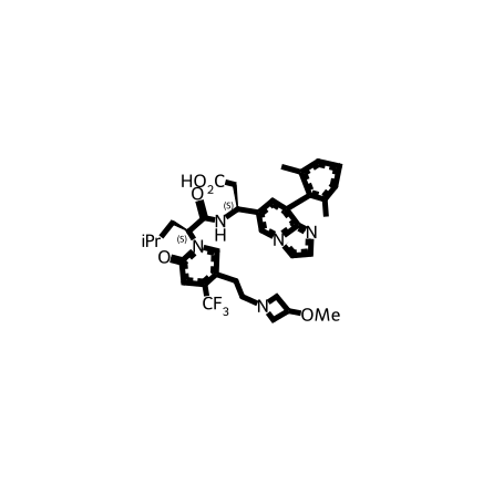 COC1CN(CCc2cn([C@@H](CC(C)C)C(=O)N[C@@H](CC(=O)O)c3cc(-c4c(C)cccc4C)c4nccn4c3)c(=O)cc2C(F)(F)F)C1